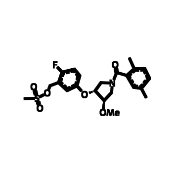 CO[C@@H]1CN(C(=O)c2cc(C)ccc2C)C[C@H]1Oc1ccc(F)c(COS(C)(=O)=O)c1